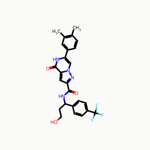 Cc1ccc(-c2cn3nc(C(=O)NC(CCO)c4ccc(C(F)(F)F)cc4)cc3c(=O)[nH]2)cc1C